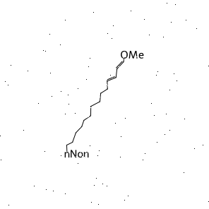 [CH2]OC=CC=CCCCCCCCCCCCCCCCCCCC